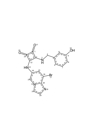 O=c1c(NCc2cccc(O)c2)c(Nc2cc(Br)c3nccn3c2)c1=O